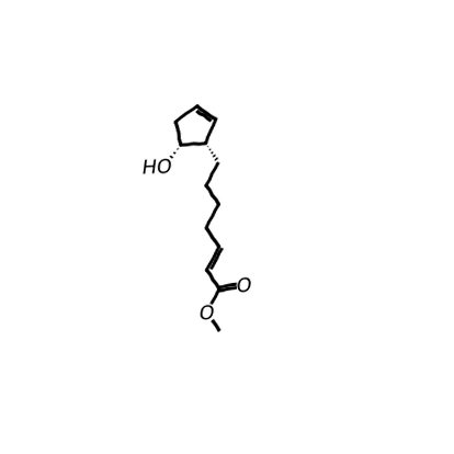 COC(=O)C=CCCCC[C@H]1C=CC[C@H]1O